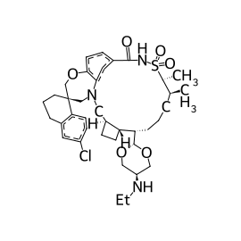 CCN[C@H]1CO[C@H]([C@H]2CCC[C@H](C)[C@@H](C)S(=O)(=O)NC(=O)c3ccc4c(c3)N(C[C@@H]3CC[C@H]32)C[C@@]2(CCCc3cc(Cl)ccc32)CO4)OC1